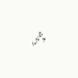 [Fe].[La].[Ni].[SiH4]